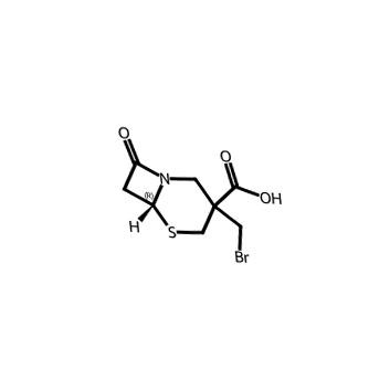 O=C1C[C@H]2SCC(CBr)(C(=O)O)CN12